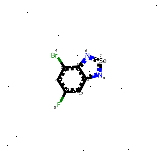 Fc1cc(Br)c2n[se]nc2c1